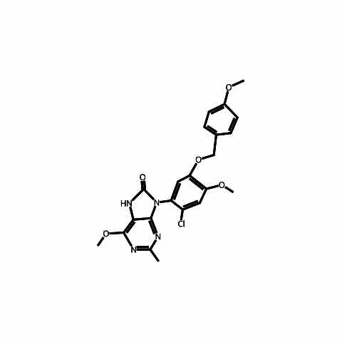 COc1ccc(COc2cc(-n3c(=O)[nH]c4c(OC)nc(C)nc43)c(Cl)cc2OC)cc1